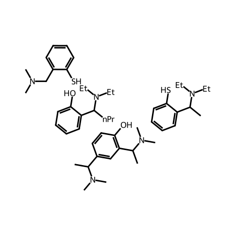 CC(c1ccc(O)c(C(C)N(C)C)c1)N(C)C.CCCC(c1ccccc1O)N(CC)CC.CCN(CC)C(C)c1ccccc1S.CN(C)Cc1ccccc1S